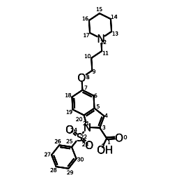 O=C(O)c1cc2cc(OCCCN3CCCCC3)ccc2n1S(=O)(=O)c1ccccc1